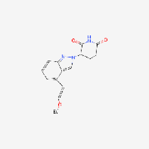 CCOC=Cc1cccc2nn(C3CCC(=O)NC3=O)cc12